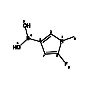 Cn1cc(B(O)O)cc1F